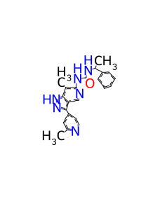 Cc1cc(-c2n[nH]c3c(C)c(NC(=O)NC(C)c4ccccc4)ncc23)ccn1